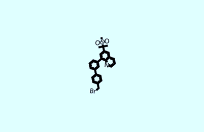 CC(C)(c1cc(-c2cccc(-c3ccc(CBr)cc3)c2)c2ncccc2c1)S(C)(=O)=O